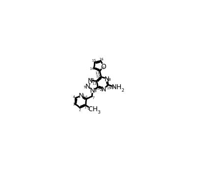 Cc1cccnc1Cn1nnc2c(-c3ccco3)nc(N)nc21